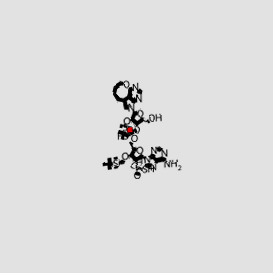 CC(C)(C)[Si](C)(C)CO[C@H]1[C@@H](O[PH](=O)S)[C@H](n2cnc3c(N)ncnc32)O[C@@H]1COP(=O)(S)O[C@H]1[C@@H](O[Si](C)(C)C(C)(C)C)[C@H](n2cc3c4c(ncnc42)OCCCC3)O[C@@H]1CO